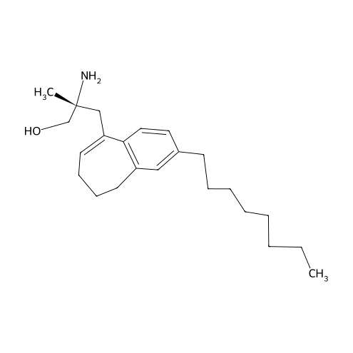 CCCCCCCCc1ccc2c(c1)CCCC=C2C[C@@](C)(N)CO